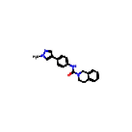 Cn1cc(-c2ccc(NC(=O)N3CCc4ccccc4C3)cc2)cn1